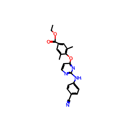 CCOC(=O)c1cc(C)c(Oc2ccnc(Nc3ccc(C#N)cc3)n2)c(C)c1